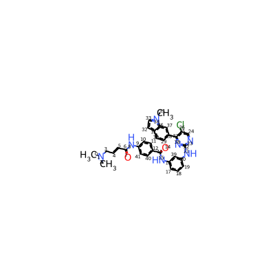 CN(C)C/C=C/C(=O)Nc1ccc(C(=O)Nc2cccc(Nc3ncc(Cl)c(-c4ccc5ccn(C)c5c4)n3)c2)cc1